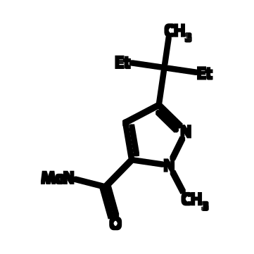 CCC(C)(CC)c1cc(C(=O)NC)n(C)n1